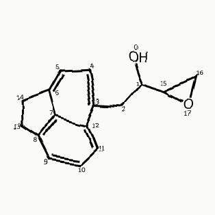 OC(Cc1ccc2c3c(cccc13)CC2)C1CO1